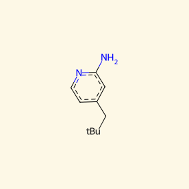 CC(C)(C)Cc1ccnc(N)c1